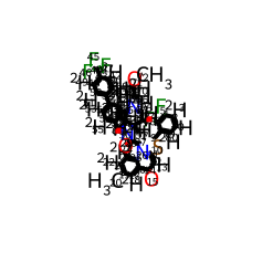 [2H]c1c([2H])c(F)c(F)c(CSc2c([2H])c(=O)c3c([2H])c(C)c([2H])c([2H])c3n2CC(=O)N(Cc2c([2H])c([2H])c(-c3c([2H])c([2H])c(C(F)(F)F)c([2H])c3[2H])c([2H])c2[2H])C2([2H])C([2H])([2H])C([2H])([2H])N(C([2H])([2H])C([2H])([2H])OC)C([2H])([2H])C2([2H])[2H])c1[2H]